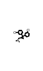 CN(C)CC1CC1(c1cccc(Cl)c1)c1cccc(Cl)c1